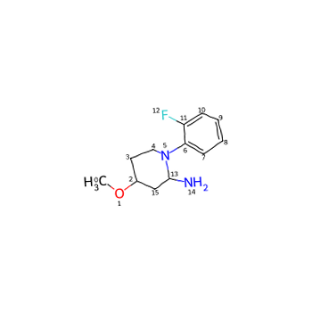 COC1CCN(c2ccccc2F)C(N)C1